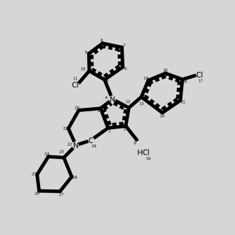 Cc1c2c(n(-c3ccccc3Cl)c1-c1ccc(Cl)cc1)CCN(C1CCCCC1)C2.Cl